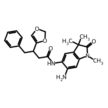 CN1C(=O)C(C)(C)c2cc(NC(=O)CC(Cc3ccccc3)C3=COCO3)c(N)cc21